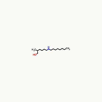 CCCCCCCCNCCCCC(C)CO